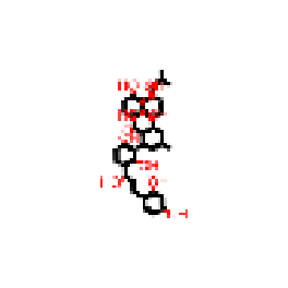 CC(C)=CCc1c(O)ccc(C(=O)C2C(c3c(O)ccc(C(O)/C=C/c4ccc(O)cc4O)c3O)C=C(C)CC2c2ccc(O)cc2O)c1O